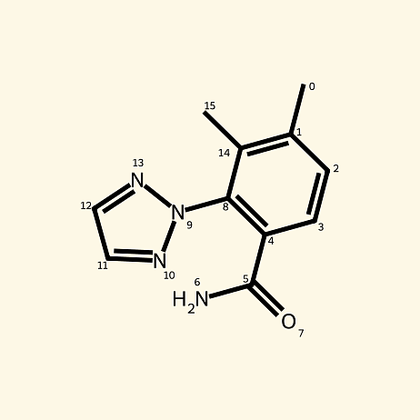 Cc1ccc(C(N)=O)c(-n2nccn2)c1C